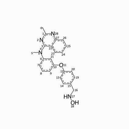 Cc1nc(N(C)c2cccc(Oc3ccc(CNO)cc3)c2)c2ccccc2n1